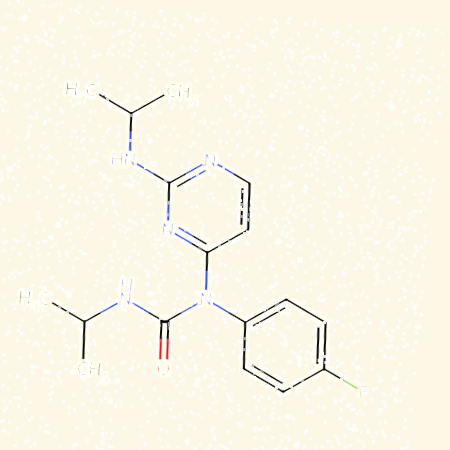 CC(C)NC(=O)N(c1ccc(F)cc1)c1ccnc(NC(C)C)n1